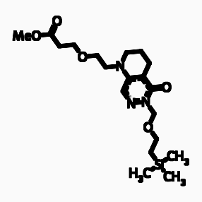 COC(=O)CCOCCN1CCCc2c1cnn(COCC[Si](C)(C)C)c2=O